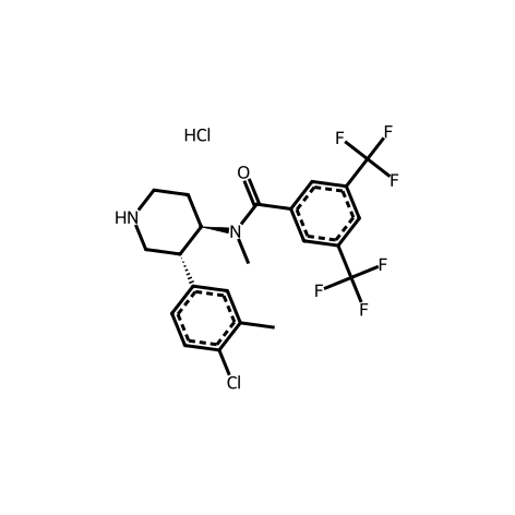 Cc1cc([C@@H]2CNCC[C@H]2N(C)C(=O)c2cc(C(F)(F)F)cc(C(F)(F)F)c2)ccc1Cl.Cl